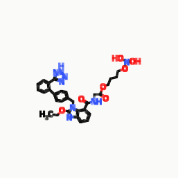 CCOc1nc2cccc(C(=O)NCC(=O)OCCCCON(O)O)c2n1Cc1ccc(-c2ccccc2-c2nn[nH]n2)cc1